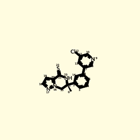 C[C@@]1(c2cccc(-c3cncc(Cl)c3)c2)Cn2nccc2C(=S)N1